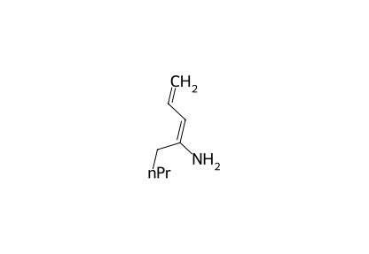 C=C/C=C(/N)CCCC